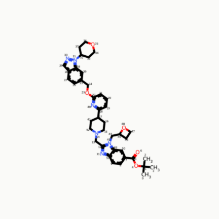 CC(C)(C)OC(=O)c1ccc2nc(CN3CCC(c4cccc(OCc5ccc6cnn(C7CCOCC7)c6c5)n4)CC3)n(CC3CCO3)c2c1